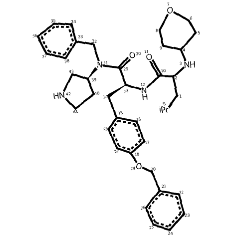 CC(C)CC(NC1CCOCC1)C(=O)N[C@@H](Cc1ccc(OCc2ccccc2)cc1)C(=O)N(Cc1ccccc1)[C@H]1CCNC1